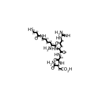 N=C(N)NCCC[C@H](NC(=O)[C@@H](N)CCCCNC(=O)CCS)C(=O)NCC(=O)N[C@@H](CC(=O)O)C(N)=O